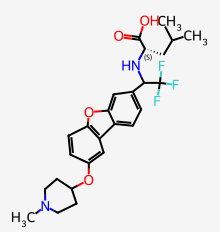 CC(C)C[C@H](NC(c1ccc2c(c1)oc1ccc(OC3CCN(C)CC3)cc12)C(F)(F)F)C(=O)O